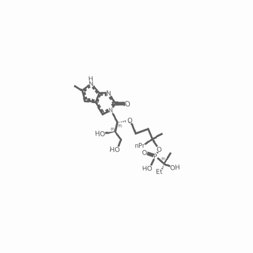 CCCC(C)(CCO[C@H]([C@H](O)CO)n1cc2cc(C)[nH]c2nc1=O)OP(=O)(O)[C@@](C)(O)CC